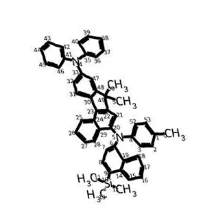 Cc1ccc(N(c2ccc([Si](C)(C)C)c3ccccc23)c2cc3c(c4ccccc24)-c2ccc(N(c4ccccc4)c4ccccc4)cc2C3(C)C)cc1